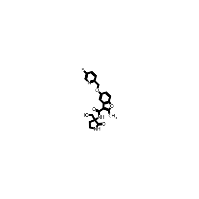 Cc1oc2ccc(OCc3ccc(F)cn3)cc2c1C(=O)NC1(CO)CCNC1=O